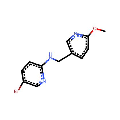 COc1ccc(CNc2ccc(Br)cn2)cn1